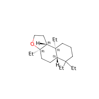 CCC1(CC)CCC[C@@]2(CC)[C@H]1CC[C@@]1(CC)OCC[C@@H]12